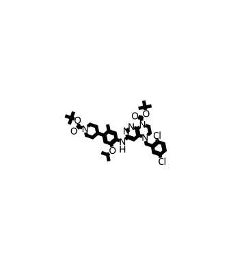 Cc1cc(Nc2cc3c(nn2)N(C(=O)OC(C)(C)C)CCN3Cc2cc(Cl)ccc2Cl)c(OC(C)C)cc1C1CCN(C(=O)OC(C)(C)C)CC1